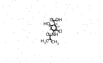 C=C(C)C(=O)Nc1cc(O)c(C(=O)O)cc1Cl